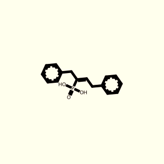 O=P(O)(O)C(=CCc1ccccc1)Cc1ccccc1